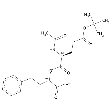 CC(=O)N[C@@H](CCC(=O)OC(C)(C)C)C(=O)N[C@@H](CCc1ccccc1)C(=O)O